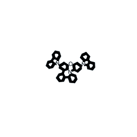 c1ccc2c(c1)-c1ccccc1N1c3ccc(-n4c5ccccc5c5ccccc54)cc3Oc3cc(-n4c5ccccc5c5ccccc54)cc-2c31